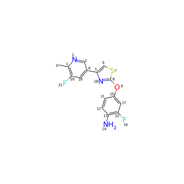 Cc1ncc(-c2csc(Oc3ccc(N)c(F)c3)n2)cc1F